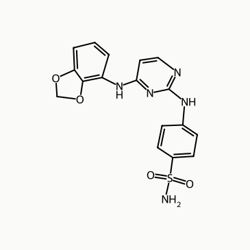 NS(=O)(=O)c1ccc(Nc2nccc(Nc3cccc4c3OCO4)n2)cc1